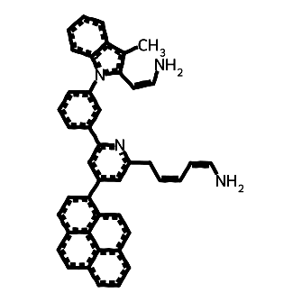 Cc1c(/C=C\N)n(-c2cccc(-c3cc(-c4ccc5ccc6cccc7ccc4c5c67)cc(C/C=C\C=C/N)n3)c2)c2ccccc12